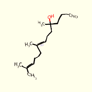 CC(C)=CCC/C(C)=C/CCC(C)(O)CCC=O